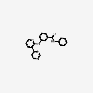 O=C(Nc1ccccc1)c1cccc(Oc2ncccc2-c2ccncn2)c1